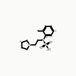 CCS(=O)(=O)N(CCN1CCCC1)c1ccccc1C